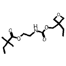 CCC1(COC(=O)NCCOC(=O)C(C)(C)CC)COC1